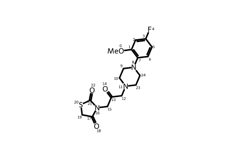 COc1cc(F)ccc1N1CCN(CC(=O)CN2C(=O)CSC2=O)CC1